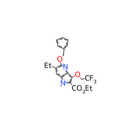 CCOC(=O)c1c(OCC(F)(F)F)c2nc(OCc3ccccc3)c(CC)cc2n1C